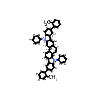 Cc1ccccc1-c1ccc2c(c1)c1cc3c(cc1n2-c1ccccc1)-c1ccc2c4cc(-c5ccccc5C)ccc4n(C4C=CC=CC4)c2c1CC3